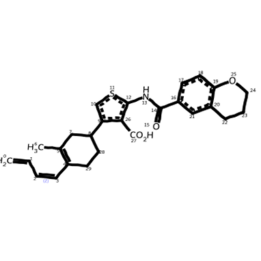 C=C/C=C\C1=C(C)CC(c2csc(NC(=O)c3ccc4c(c3)CCCO4)c2C(=O)O)CC1